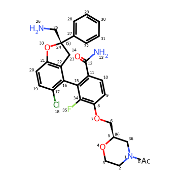 CC(=O)N1CCO[C@@H](COc2ccc(C(N)=O)c(-c3c(Cl)ccc4c3C[C@@](CN)(c3ccccc3)O4)c2F)C1